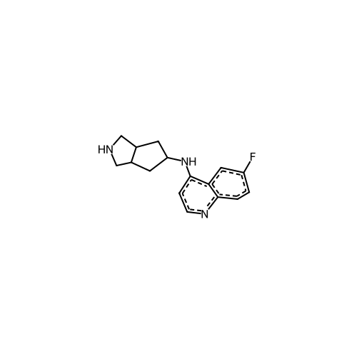 Fc1ccc2nccc(NC3CC4CNCC4C3)c2c1